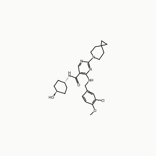 COc1ccc(CNc2nc(N3CCC4(CC3)CC4)ncc2C(=O)N[C@H]2CC[C@H](O)CC2)cc1Cl